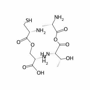 C[C@H](N)C(=O)OC(=O)[C@@H](N)[C@@H](C)O.N[C@@H](COC(=O)[C@@H](N)CS)C(=O)O